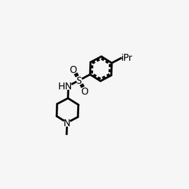 CC(C)c1ccc(S(=O)(=O)NC2CCN(C)CC2)cc1